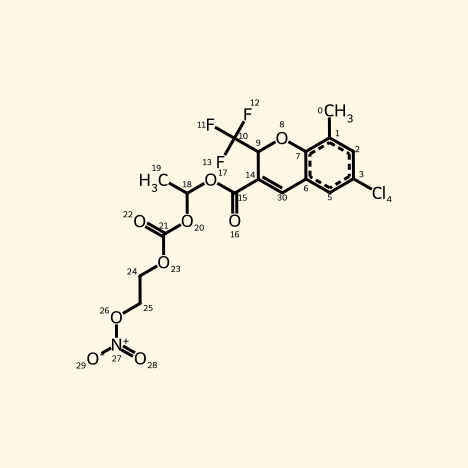 Cc1cc(Cl)cc2c1OC(C(F)(F)F)C(C(=O)OC(C)OC(=O)OCCO[N+](=O)[O-])=C2